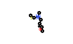 CC1(C)c2ccc(-c3cccc(-c4nc(-c5ccccc5)nc(-c5ccc6sc7ccccc7c6c5)n4)c3)cc2-c2ccc3c(oc4ccccc43)c21